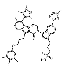 Cc1cc(OCCCc2c3n(c4c(-c5c(C)nn(C)c5C)c(Cl)ccc24)[C@H](C)CN(c2cn(CCCS(=O)(=O)O)c4ccc(-c5ncn(C)n5)cc24)C3=O)cc(C)c1Cl